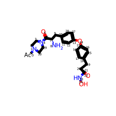 CC(=O)N1CCN(C(=O)[C@@H](N)Cc2ccc(Oc3ccc(CCC(=O)NO)cc3)cc2)CC1